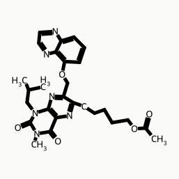 CC(=O)OCCCCCc1nc2c(=O)n(C)c(=O)n(CC(C)C)c2nc1COc1cccc2nccnc12